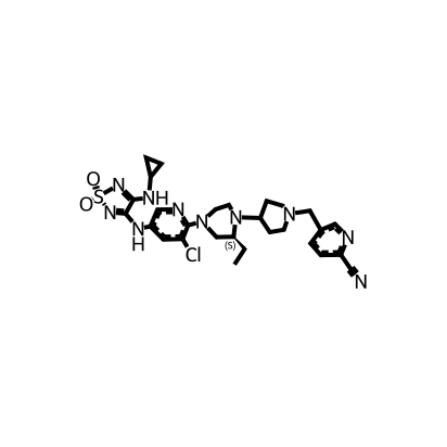 CC[C@H]1CN(c2ncc(NC3=NS(=O)(=O)N=C3NC3CC3)cc2Cl)CCN1C1CCN(Cc2ccc(C#N)nc2)CC1